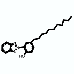 CCCCCCCCCCCc1ccc(O)c(-n2nc3ccccc3n2)c1